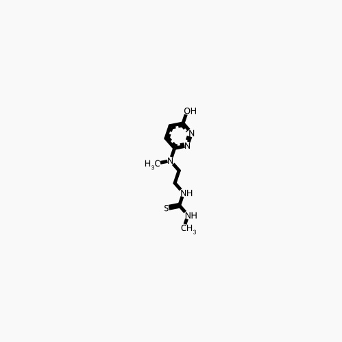 CNC(=S)NCCN(C)c1ccc(O)nn1